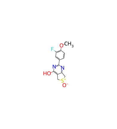 COc1ccc(-c2nc(O)c3c(n2)C[S+]([O-])C3)cc1F